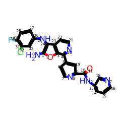 Nc1oc2c(-c3ccnc(C(=O)Nc4cccnc4)c3)nccc2c1Nc1ccc(F)c(Cl)c1